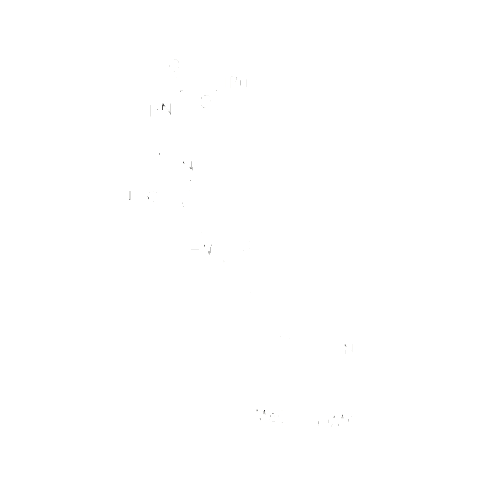 COc1cc2nccc(Oc3cccc(CC(=O)Nc4ccc(N5CCC(NC(=O)OC(C)(C)C)CC5)c(C(F)(F)F)c4)c3)c2cc1OC